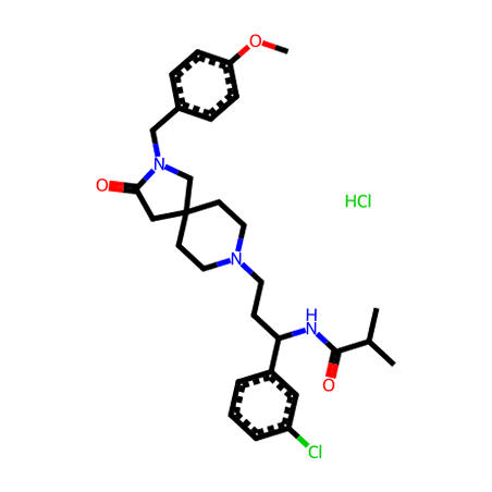 COc1ccc(CN2CC3(CCN(CCC(NC(=O)C(C)C)c4cccc(Cl)c4)CC3)CC2=O)cc1.Cl